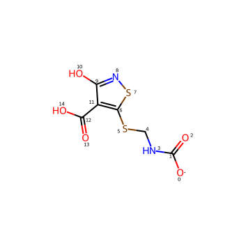 [O]C(=O)NCSc1snc(O)c1C(=O)O